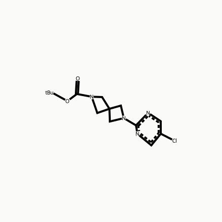 CC(C)(C)OC(=O)N1CC2(C1)CN(c1ncc(Cl)cn1)C2